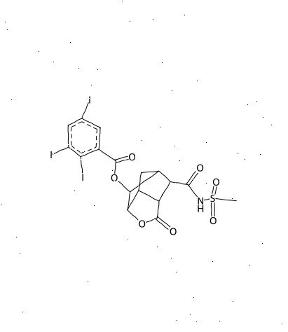 CS(=O)(=O)NC(=O)C1C2CC3C(OC(=O)C31)C2OC(=O)c1cc(I)cc(I)c1I